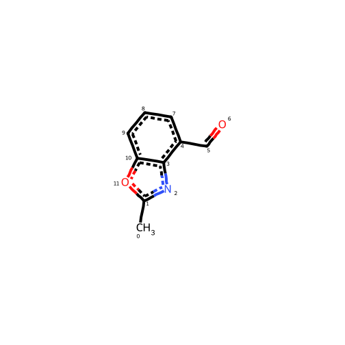 Cc1nc2c(C=O)cccc2o1